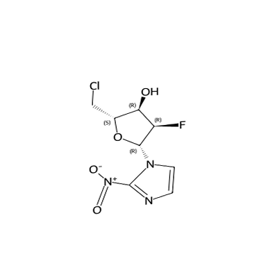 O=[N+]([O-])c1nccn1[C@@H]1O[C@H](CCl)[C@@H](O)[C@H]1F